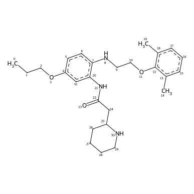 CCCOc1ccc(NCCOc2c(C)cccc2C)c(NC(=O)CC2CCCCN2)c1